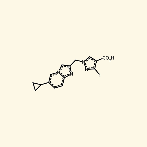 O=C(O)c1cn(Cc2cn3cc(C4CC4)ccc3n2)nc1I